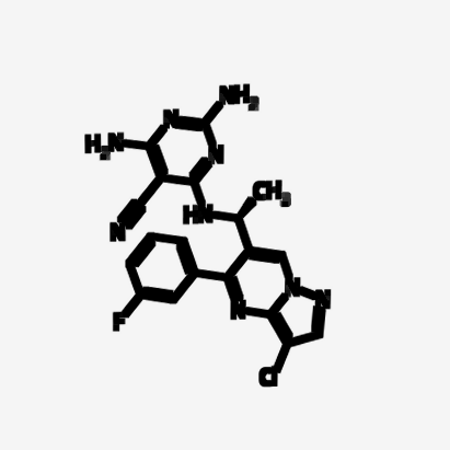 C[C@H](Nc1nc(N)nc(N)c1C#N)c1cn2ncc(Cl)c2nc1-c1cccc(F)c1